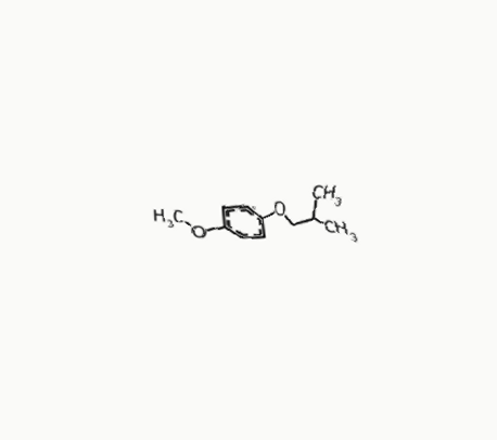 COc1c[c]c(OCC(C)C)cc1